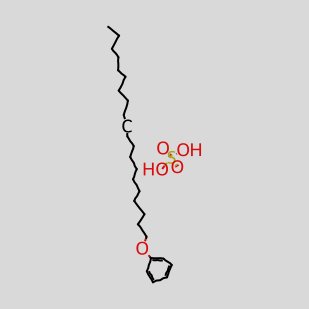 CCCCCCCCCCCCCCCCCCCCOc1ccccc1.O=S(=O)(O)O